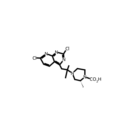 C[C@@H]1CN(C(C)(C)Cc2nc(Cl)nc3nc(Cl)ccc23)CCN1C(=O)O